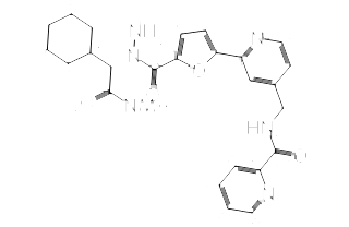 CNC(=O)[C@H](C1CCCCC1)N(N)C(=O)c1ccc(-c2cc(CNC(=O)c3ccccn3)ccn2)o1